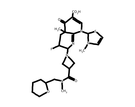 CN(CC1CCCCO1)C(=O)C1CN(C2N=C3N(C4SC=CN4C)C=C(C(=O)O)C(=O)C3(C)CC2F)C1